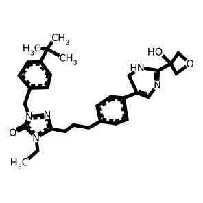 CCn1c(CCCc2ccc(C3=CN=C(C4(O)COC4)NC3)cc2)nn(Cc2ccc(C(C)(C)C)cc2)c1=O